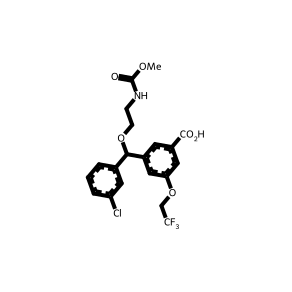 COC(=O)NCCOC(c1cccc(Cl)c1)c1cc(OCC(F)(F)F)cc(C(=O)O)c1